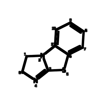 [CH]1CN2C(=N1)Sc1ccccc12